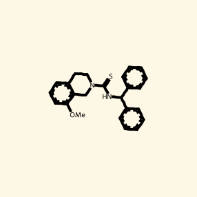 COc1cccc2c1CN(C(=S)NC(c1ccccc1)c1ccccc1)CC2